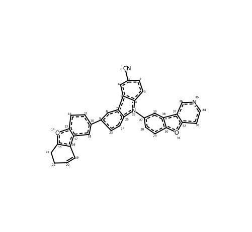 N#Cc1ccc2c(c1)c1cc(-c3ccc4oc5c(c4c3)C=CCC5)ccc1n2-c1ccc2oc3ccncc3c2c1